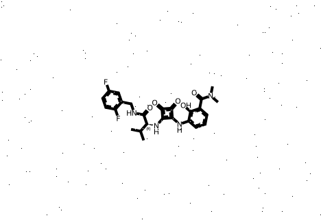 CC(C)[C@@H](Nc1c(Nc2cccc(C(=O)N(C)C)c2O)c(=O)c1=O)C(=O)NCc1cc(F)ccc1F